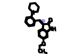 CCOc1ccc2c(c1)NC(=O)/C2=C/c1ccccc1N1CCCCC1